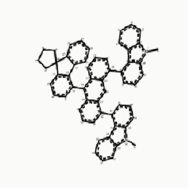 Cn1c2ccccc2c2c(-c3cccc4c(-c5cccc6c5-c5ccccc5C65CCCC5)c5cccc(-c6cccc7c6c6ccccc6n7C)c5cc34)cccc21